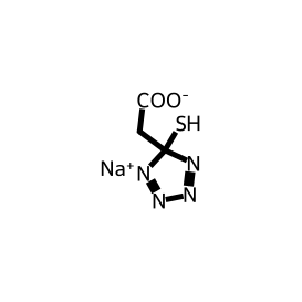 O=C([O-])CC1(S)N=NN=N1.[Na+]